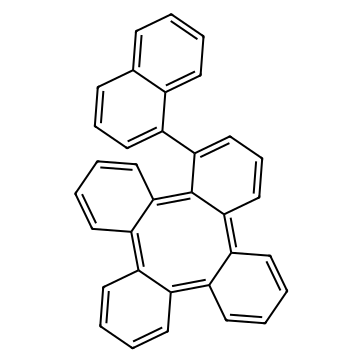 c1ccc2c(c1)=c1ccccc1=c1cccc(-c3cccc4ccccc34)c1=c1ccccc1=2